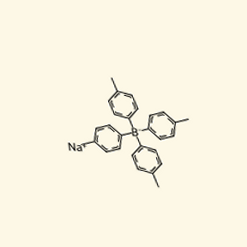 Cc1ccc([B-](c2ccc(C)cc2)(c2ccc(C)cc2)c2ccc(C)cc2)cc1.[Na+]